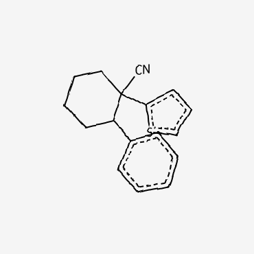 N#CC1(c2cccs2)CCCCC1c1ccccc1